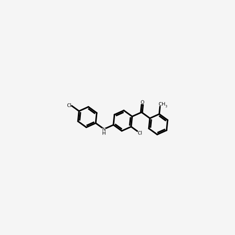 Cc1ccccc1C(=O)c1ccc(Nc2ccc(Cl)cc2)cc1Cl